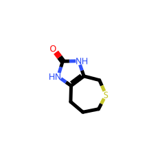 O=c1[nH]c2c([nH]1)CSCCC2